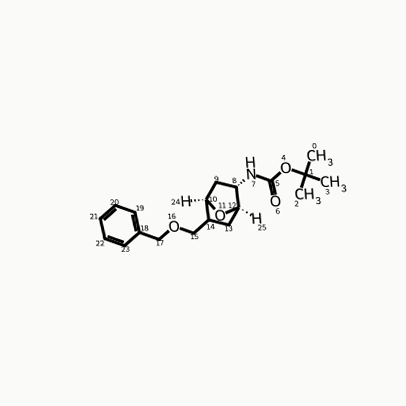 CC(C)(C)OC(=O)N[C@H]1C[C@H]2O[C@@H]1CC2COCc1ccccc1